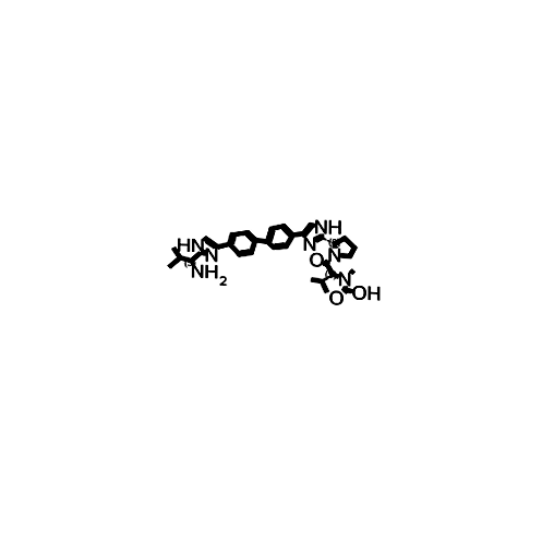 CC(C)[C@H](N)c1nc(-c2ccc(-c3ccc(-c4c[nH]c([C@@H]5CCCN5C(=O)[C@H](C(C)C)N(C)C(=O)O)n4)cc3)cc2)c[nH]1